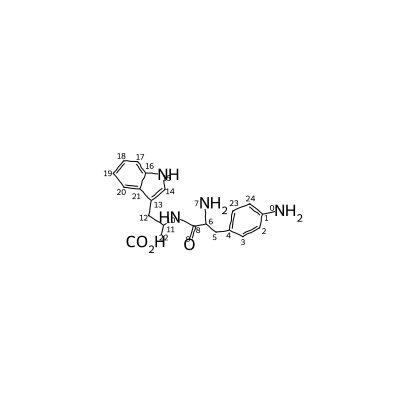 Nc1ccc(CC(N)C(=O)NC(Cc2c[nH]c3ccccc23)C(=O)O)cc1